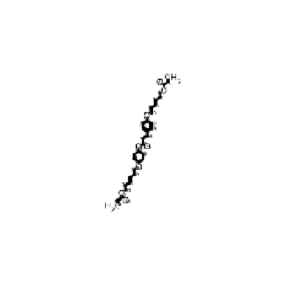 C=CC(=O)OCCCCCCOc1ccc(C=CC(=O)O[C@H]2CC[C@H](OCCCCCCOC(=O)C=C)CC2)cc1